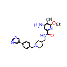 CCOc1nc(C(=O)NCC2CCN(Cc3ccc(-c4cncnc4)cc3)CC2)cc(N)c1C#N